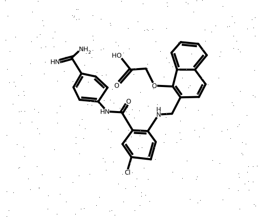 N=C(N)c1ccc(NC(=O)c2cc(Cl)ccc2NCc2ccc3ccccc3c2OCC(=O)O)cc1